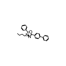 CCCCN1N=C(c2ccc(-c3ccccc3)cc2)OC1c1ccccc1